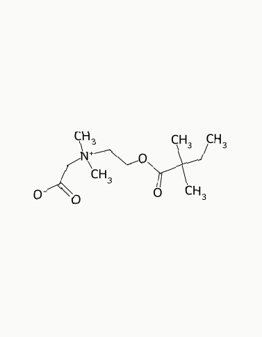 CCC(C)(C)C(=O)OCC[N+](C)(C)CC(=O)[O-]